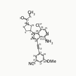 C=CC(=O)N1CCC(n2nc(C#Cc3cc(C#N)cc(OC)c3)c3c(N)ncc(Cl)c32)C1